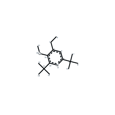 CCc1cc(C(C)(C)C)nc(C(C)(C)C)c1OC